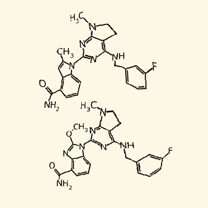 COc1nc2c(C(N)=O)cccc2n1-c1nc(NCc2cccc(F)c2)c2c(n1)N(C)CC2.Cc1cc2c(C(N)=O)cccc2n1-c1nc(NCc2cccc(F)c2)c2c(n1)N(C)CC2